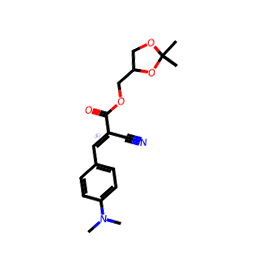 CN(C)c1ccc(/C=C(\C#N)C(=O)OCC2COC(C)(C)O2)cc1